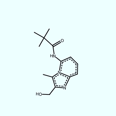 Cc1c(CO)nc2cccc(NC(=O)C(C)(C)C)n12